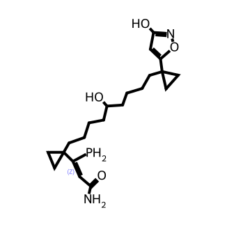 NC(=O)/C=C(\P)C1(CCCCC(O)CCCCC2(c3cc(O)no3)CC2)CC1